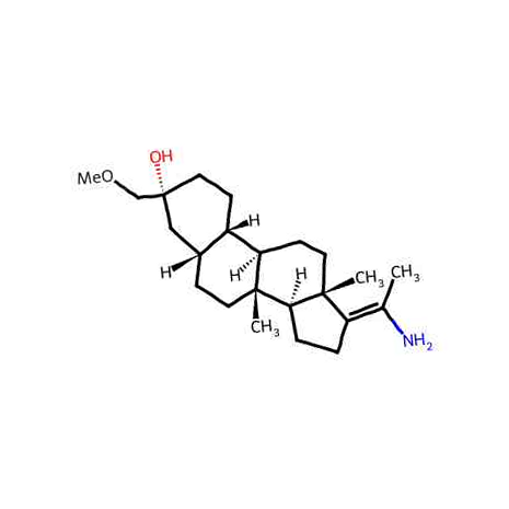 COC[C@@]1(O)CC[C@H]2[C@H](CC[C@]3(C)[C@@H]2CC[C@]2(C)/C(=C(\C)N)CC[C@@H]32)C1